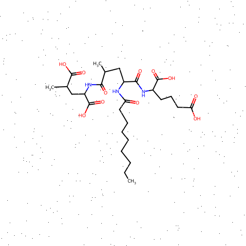 CCCCCCCCC(=O)NC(CC(C)C(=O)NC(CC(C)C(=O)O)C(=O)O)C(=O)NC(CCCC(=O)O)C(=O)O